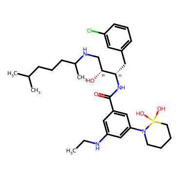 CCNc1cc(C(=O)N[C@@H](Cc2cccc(Cl)c2)[C@H](O)CNC(C)CCCC(C)C)cc(N2CCCCS2(O)O)c1